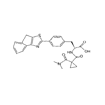 CN(C)C(=O)C1(C(=O)N[C@@H](Cc2ccc(-c3nc4c(s3)Cc3ccccc3-4)cc2)C(=O)O)CC1